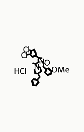 COc1cccc(CC(=O)N2CC(c3ccc(Cl)c(Cl)c3)C2C(C)N2CCC(Cc3ccccc3)CC2)c1.Cl